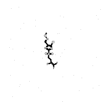 CON=Cc1nc(S(=O)(=O)CCC(F)=C(F)F)sc1Cl